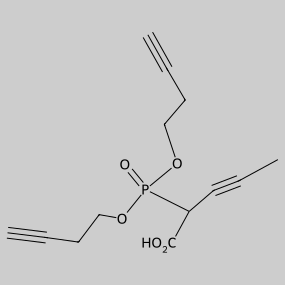 C#CCCOP(=O)(OCCC#C)C(C#CC)C(=O)O